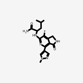 CC(C)CC(Nc1nc(-c2cnn(C)c2)c2c(c1F)CNC2=O)C(N)=O